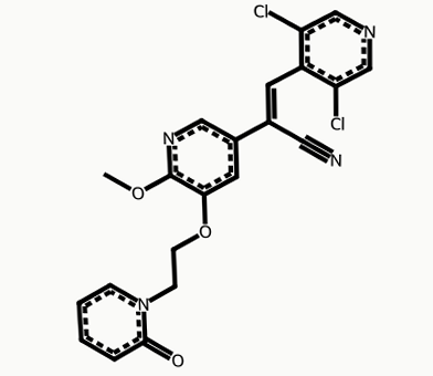 COc1ncc(/C(C#N)=C/c2c(Cl)cncc2Cl)cc1OCCn1ccccc1=O